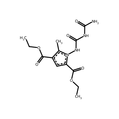 CCOC(=O)c1cc(C(=O)OCC)n(NC(=O)NC(N)=O)c1C